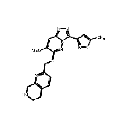 COc1cc2nnc(-c3cc(C)on3)n2nc1OCc1ccc2c(n1)CNCC2